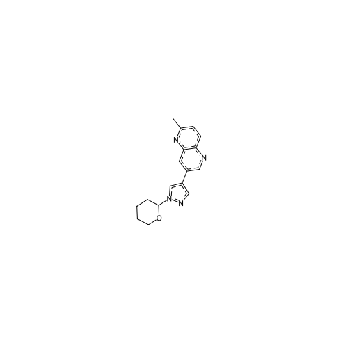 Cc1ccc2ncc(-c3cnn(C4CCCCO4)c3)cc2n1